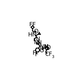 O=C(CC1CC(F)(F)C1)NC(c1ccn2cc(C(NC(=O)c3nocc3CC(F)(F)F)C3CCC(F)(F)CC3)nc2n1)C1CC1